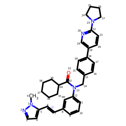 Cn1nccc1/C=C/c1cccc(N(Cc2ccc(-c3ccc(N4CCCC4)nc3)cc2)C(=O)C2CCCCC2)c1